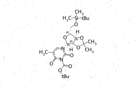 Cc1cn([C@@H]2O[C@H](CO[Si](C)(C)C(C)(C)C)[C@H]3OC(C)(C)O[C@H]32)c(=O)n(C(=O)OC(C)(C)C)c1=O